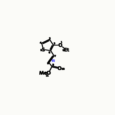 CCOc1ccsc1/C=C/C(=O)OC